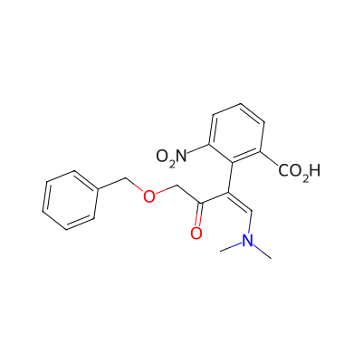 CN(C)C=C(C(=O)COCc1ccccc1)c1c(C(=O)O)cccc1[N+](=O)[O-]